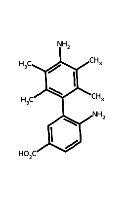 Cc1c(C)c(-c2cc(C(=O)O)ccc2N)c(C)c(C)c1N